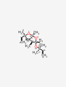 C=C[Si](C)(C)O[Si](C)(C)O[Si](C)(C=C)O[Si](C)(C)C=C